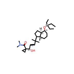 CC[Si](CC)(CC)O[C@H]1CCC[C@]2(C)C(C(C)(C)/C=C/[C@H](O)C3(C(=O)N(C)C)CC3)CC[C@@H]12